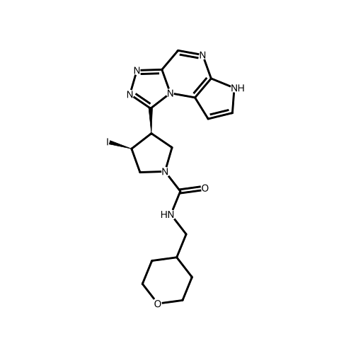 O=C(NCC1CCOCC1)N1C[C@@H](I)[C@@H](c2nnc3cnc4[nH]ccc4n23)C1